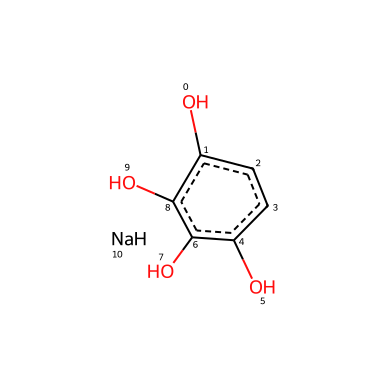 Oc1ccc(O)c(O)c1O.[NaH]